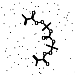 C=C(C)C(=O)OOC(C)(C)OC(=O)OC(C)(C)OOC(=O)C(=C)C